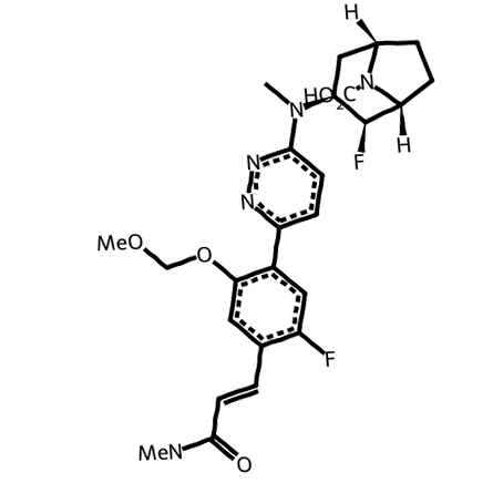 CNC(=O)/C=C/c1cc(OCOC)c(-c2ccc(N(C)[C@H]3C[C@@H]4CC[C@H]([C@H]3F)N4C(=O)O)nn2)cc1F